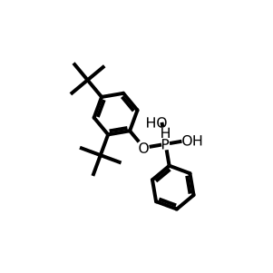 CC(C)(C)c1ccc(O[PH](O)(O)c2ccccc2)c(C(C)(C)C)c1